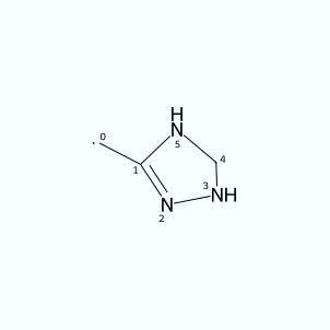 [CH2]C1=NNCN1